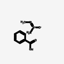 C/N=[N+](\N)[O-].O=C(O)c1ccccc1